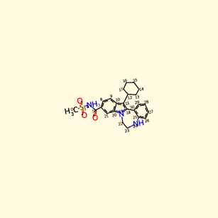 CS(=O)(=O)NC(=O)c1ccc2c(C3CCCCC3)c3n(c2c1)CCNc1ccccc1-3